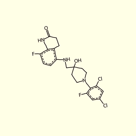 O=C1CCc2c(NCC3(O)CCN(c4c(F)cc(Cl)cc4Cl)CC3)ccc(F)c2N1